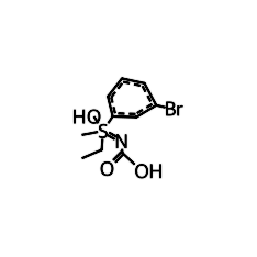 CCS(C)(O)(=NC(=O)O)c1cccc(Br)c1